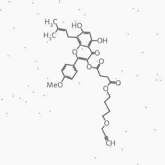 C#CCOCCCCOC(=O)CCC(=O)Oc1c(-c2ccc(OC)cc2)oc2c(CC=C(C)C)c(O)cc(O)c2c1=O